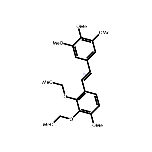 COCOc1c(/C=C/c2cc(OC)c(OC)c(OC)c2)ccc(OC)c1OCOC